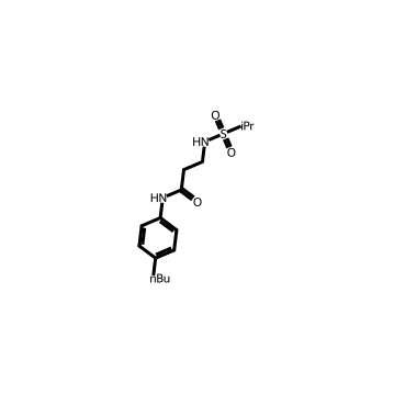 CCCCc1ccc(NC(=O)CCNS(=O)(=O)C(C)C)cc1